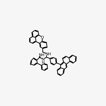 N=C(NC(NCc1ccc2c(c1)-c1cccc3cccc(c13)O2)c1ccc(-c2c3ccccc3cc3c2ccc2ccccc23)cc1)c1ccccc1-c1ccccc1